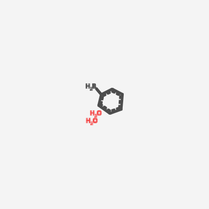 Bc1ccccc1.O.O